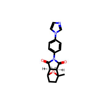 CC12CCC(O1)[C@H]1C(=O)N(c3ccc(-n4ccnc4)cc3)C(=O)[C@H]12